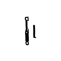 [CH2]C.[O]=[Al][Cl]